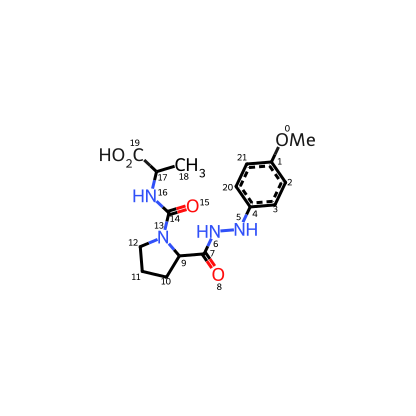 COc1ccc(NNC(=O)C2CCCN2C(=O)NC(C)C(=O)O)cc1